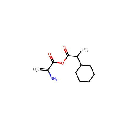 C=C(N)C(=O)OC(=O)C(C)C1CCCCC1